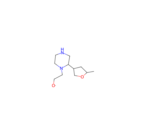 CC1CC(C2CNCCN2CC[O])CO1